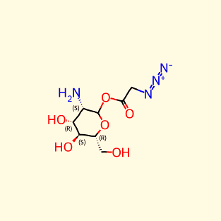 [N-]=[N+]=NCC(=O)OC1O[C@H](CO)[C@@H](O)[C@H](O)[C@@H]1N